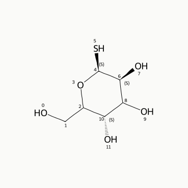 OCC1O[C@@H](S)[C@@H](O)C(O)[C@@H]1O